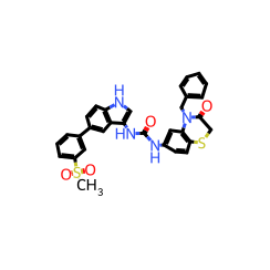 CS(=O)(=O)c1cccc(-c2ccc3[nH]cc(NC(=O)Nc4ccc5c(c4)N(Cc4ccccc4)C(=O)CS5)c3c2)c1